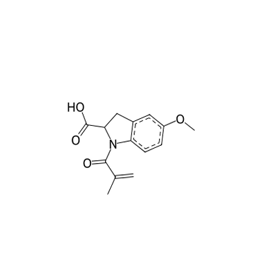 C=C(C)C(=O)N1c2ccc(OC)cc2CC1C(=O)O